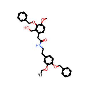 [2H]COc1cc(CCNC(=O)Cc2ccc(OC)c(OCc3ccccc3)c2CO)ccc1OCc1ccccc1